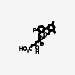 Cc1cc(C)c(COCO[PH](=O)CC(O)CC(=O)O)c(-c2ccc(F)c(C)c2)c1